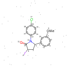 COc1cccc(C2CC(I)C(=O)N2c2ccc(Cl)cc2)c1